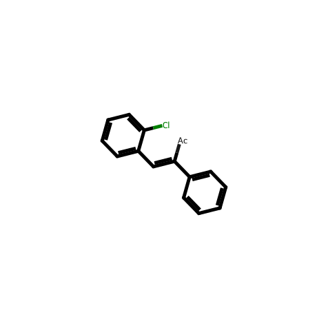 CC(=O)C(=Cc1ccccc1Cl)c1ccccc1